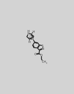 CCOC(=O)c1nsc2cc(N3C[C@@H]4C[C@H]3CN4)ccc12